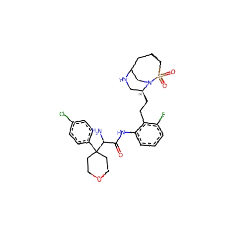 NC(C(=O)Nc1cccc(F)c1CC[C@H]1CNC2CCCS(=O)(=O)N1C2)C1(c2ccc(Cl)cc2)CCOCC1